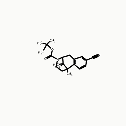 CC(C)(C)OC(=O)N1CCC2(C)c3ccc(C#N)cc3CC1C2(C)C